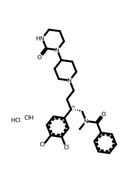 CN(C[C@@H](CCN1CCC(N2CCCNC2=O)CC1)c1ccc(Cl)c(Cl)c1)C(=O)c1ccccc1.Cl.Cl